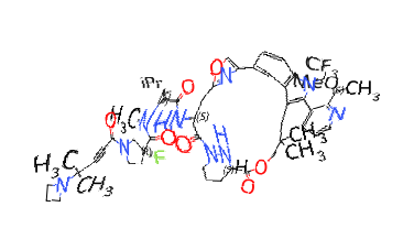 CO[C@@H](C)c1ncccc1-c1c2c3cc(ccc3n1CC(F)(F)F)-c1coc(n1)C[C@H](NC(=O)[C@H](C(C)C)N(C)C(=O)[C@@]1(F)CCN(C(=O)C#CC(C)(C)N3CCC3)C1)C(=O)N1CCC[C@H](N1)C(=O)OCC(C)(C)C2